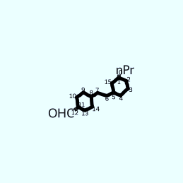 CCCC1CCCC(CCC2CCC(C=O)CC2)C1